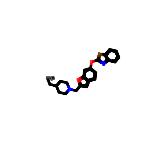 O=C(O)CC1CCN(Cc2cc3ccc(Oc4nc5ccccc5s4)cc3o2)CC1